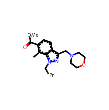 COC(=O)c1ccc2c(CN3CCOCC3)nn(CC(C)C)c2c1C